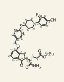 CC(C)(C)OC(=O)CC[C@H](C(N)=O)N1Cc2c(OCc3cnc(SC4CCN(c5ccc(C#N)cc5F)CC4)nc3)cccc2C1=O